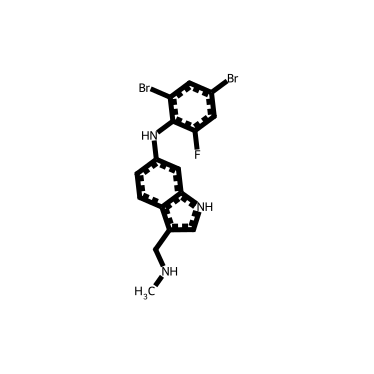 CNCc1c[nH]c2cc(Nc3c(F)cc(Br)cc3Br)ccc12